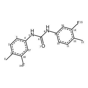 Cc1ccc(NC(=O)Nc2ccc(C)c(F)c2)cc1F